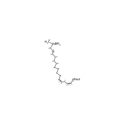 CCCCC/C=C\C/C=C\CCCCCCCCOCC(C)N